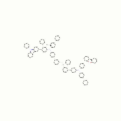 CC1(C)c2ccccc2-c2c(-c3ccc4c(c3)c3ccccc3n4-c3ccccc3)ccc(N(c3ccc(-c4ccccc4)cc3)c3ccc(-c4cccc(CC5(C)c6ccccc6-c6c(-c7ccc(N(c8ccc(-c9ccccc9)cc8)c8ccc(-c9cccc%10c9oc9ccccc9%10)cc8)cc7)cccc65)c4)cc3)c21